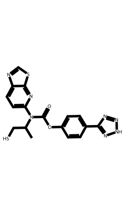 CC(CS)N(C(=O)Oc1ccc(-c2nn[nH]n2)cc1)c1ccc2ncsc2n1